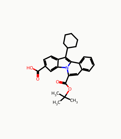 CC(C)(C)OC(=O)c1cc2ccccc2c2c(C3CCCCC3)c3ccc(C(=O)O)cc3n12